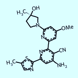 COc1cc(-c2nc(-c3ncc(C)s3)cc(N)c2C#N)nc(N2CC[C@@](C)(O)C2)c1